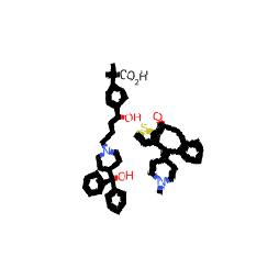 CC(C)(C(=O)O)c1ccc(C(O)CCCN2CCC(C(O)(c3ccccc3)c3ccccc3)CC2)cc1.CN1CCC(=C2c3ccccc3CC(=O)c3sccc32)CC1